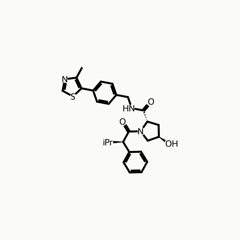 Cc1ncsc1-c1ccc(CNC(=O)[C@@H]2C[C@@H](O)CN2C(=O)[C@@H](c2ccccc2)C(C)C)cc1